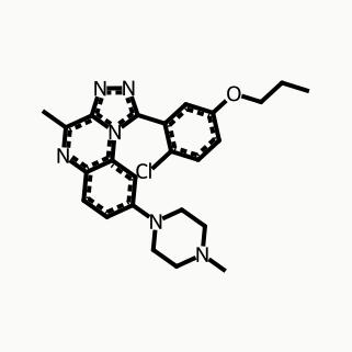 CCCOc1ccc(Cl)c(-c2nnc3c(C)nc4ccc(N5CCN(C)CC5)cc4n23)c1